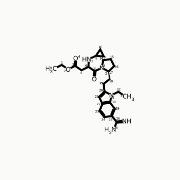 CCOC(=O)CC(NC1CC1)C(=O)N1CCC[C@H]1CCc1cc2ccc(C(=N)N)cc2n1CC